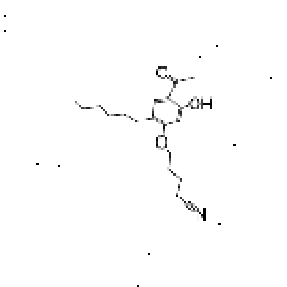 CCCCCCc1cc(C(C)=O)c(O)cc1OCCCCC#N